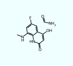 CNc1cc(F)cc2c(O)cc(=O)[nH]c12.NC=O